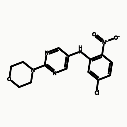 O=[N+]([O-])c1ccc(Cl)cc1Nc1cnc(N2CCOCC2)nc1